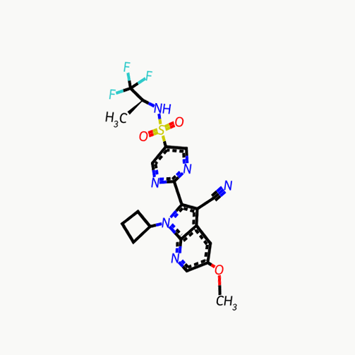 COc1cnc2c(c1)c(C#N)c(-c1ncc(S(=O)(=O)N[C@@H](C)C(F)(F)F)cn1)n2C1CCC1